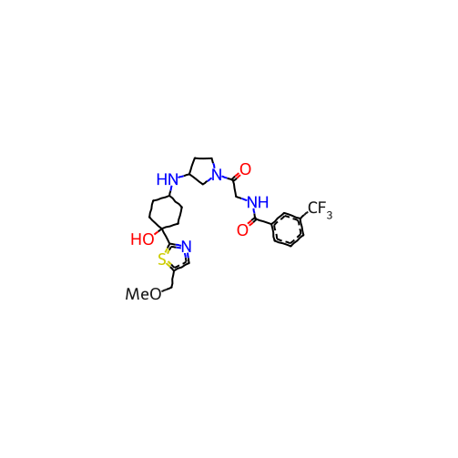 COCc1cnc(C2(O)CCC(NC3CCN(C(=O)CNC(=O)c4cccc(C(F)(F)F)c4)C3)CC2)s1